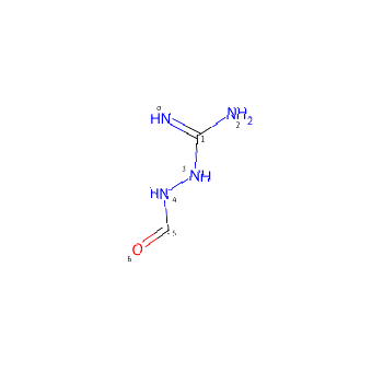 N=C(N)NN[C]=O